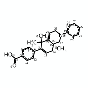 CC1(C)C(c2ccc(C(=O)O)cc2)=CC[C@]2(C)CN(c3ncccn3)CC=C12